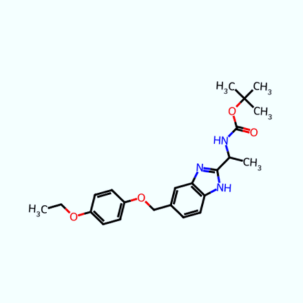 CCOc1ccc(OCc2ccc3[nH]c(C(C)NC(=O)OC(C)(C)C)nc3c2)cc1